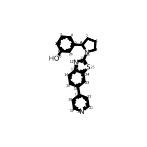 Oc1cccc(C2CCCN2c2nc3ccc(-c4ccncc4)cc3s2)c1